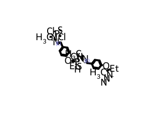 CCC(C)(N=[N+]=[N-])Oc1ccc(/C=N/N(C)[PH](=S)C(C)(CC)Oc2ccc(/C=N/N(C)P(=S)(Cl)Cl)cc2)cc1